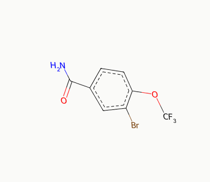 NC(=O)c1ccc(OC(F)(F)F)c(Br)c1